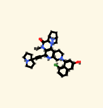 CN1C(=O)C2C3CCC(CN2c2c4c(nc(C#CC56CCCN5CCC6)c21)CN(c1cc(O)cc2cccc(Cl)c12)CC4)N3